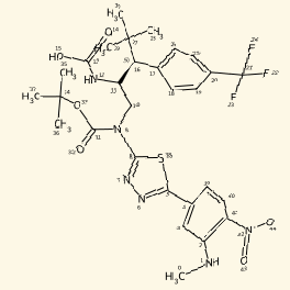 CNc1cc(-c2nnc(N(CC(NC(=O)O)[C@H](c3ccc(C(F)(F)F)cc3)C(C)(C)C)C(=O)OC(C)(C)C)s2)ccc1[N+](=O)[O-]